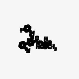 CS(=O)(=O)NC(=O)CNC(=O)c1ccc(-c2ccccc2C#N)nc1NCCc1cccc(F)c1